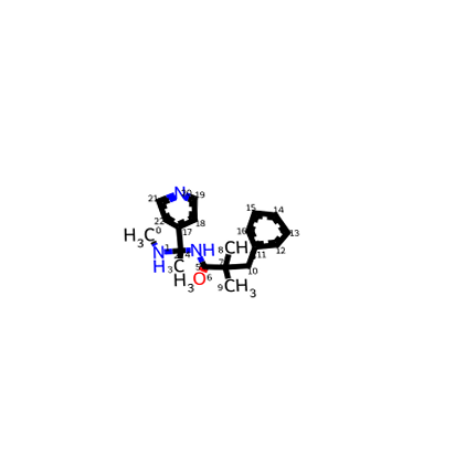 CNC(C)(NC(=O)C(C)(C)Cc1ccccc1)c1ccncc1